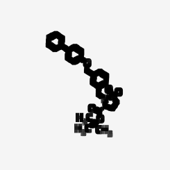 CC(C)(C)OC(=O)[C@H]1CCS(=O)(=O)N1Cc1cccc(COc2ccc(-c3ccccc3)cc2)c1